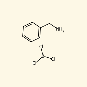 ClB(Cl)Cl.NCc1ccccc1